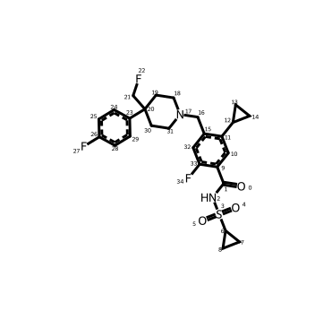 O=C(NS(=O)(=O)C1CC1)c1cc(C2CC2)c(CN2CCC(CF)(c3ccc(F)cc3)CC2)cc1F